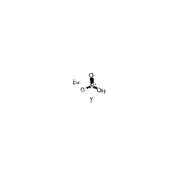 O=[N+]([O-])O.[Eu].[Y]